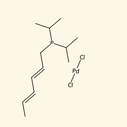 CC=CC=CCP(C(C)C)C(C)C.[Cl][Pd][Cl]